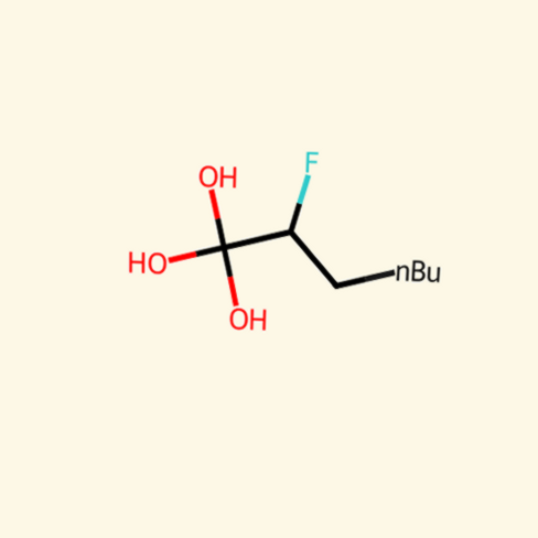 CCCCCC(F)C(O)(O)O